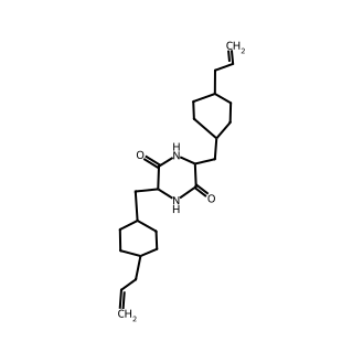 C=CCC1CCC(CC2NC(=O)C(CC3CCC(CC=C)CC3)NC2=O)CC1